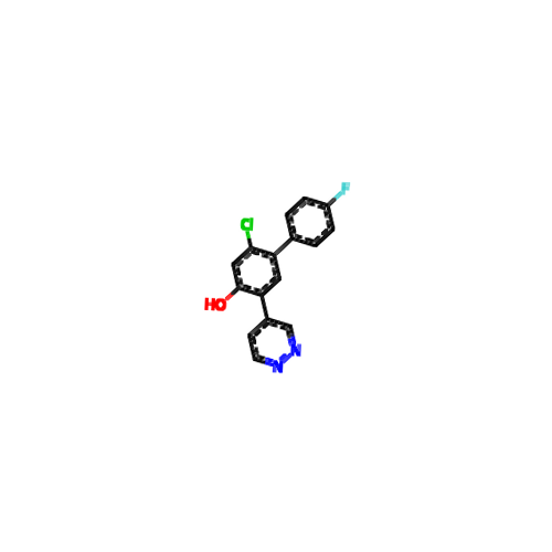 Oc1cc(Cl)c(-c2ccc(F)cc2)cc1-c1ccnnc1